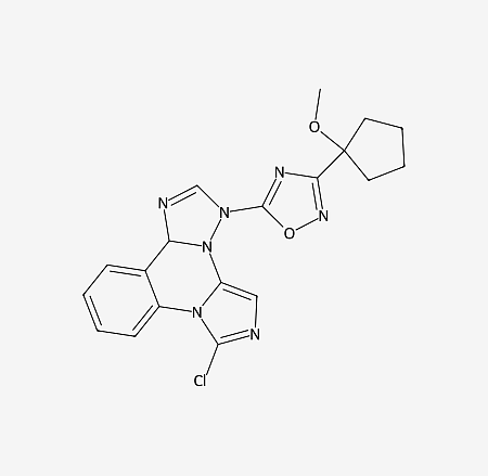 COC1(c2noc(N3C=NC4c5ccccc5-n5c(cnc5Cl)N43)n2)CCCC1